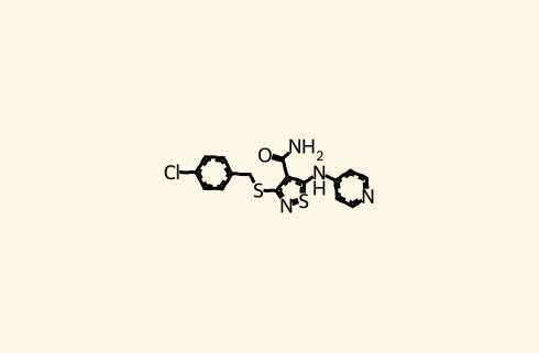 NC(=O)c1c(SCc2ccc(Cl)cc2)nsc1Nc1ccncc1